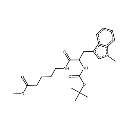 COC(=O)CCCCNC(=O)C(Cc1cn(C)c2ccccc12)NC(=O)OC(C)(C)C